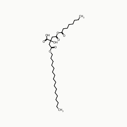 CCCCCCCCCCCCCCCCCOC(=O)CC(O)(CC(=O)OC(=O)CCCCCCC)C(=O)O